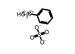 O=S(=O)(O)c1ccccc1.O=S(=O)([O-])[O-].[Ca+2]